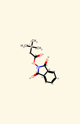 C[Si](C)(C)CC(=O)ON1C(=O)c2ccccc2C1=O